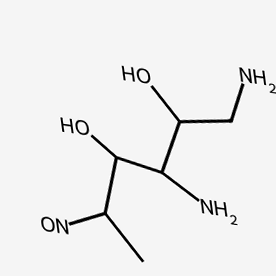 CC(N=O)C(O)C(N)C(O)CN